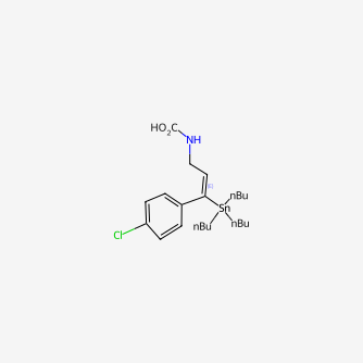 CCC[CH2][Sn]([CH2]CCC)([CH2]CCC)/[C](=C/CNC(=O)O)c1ccc(Cl)cc1